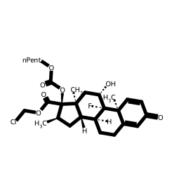 CCCCCOC(=O)O[C@]1(C(=O)OCCl)[C@H](C)C[C@H]2[C@@H]3CCC4=CC(=O)C=C[C@]4(C)[C@]3(F)[C@@H](O)C[C@@]21C